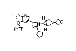 Nc1ncc(-c2cn(C3[C@H]4CN(C5COC5)C[C@@H]34)c(C3CCCC3)n2)cc1OC(F)F